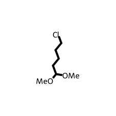 COC(CCCCCl)OC